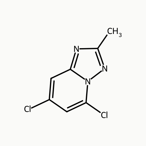 Cc1nc2cc(Cl)cc(Cl)n2n1